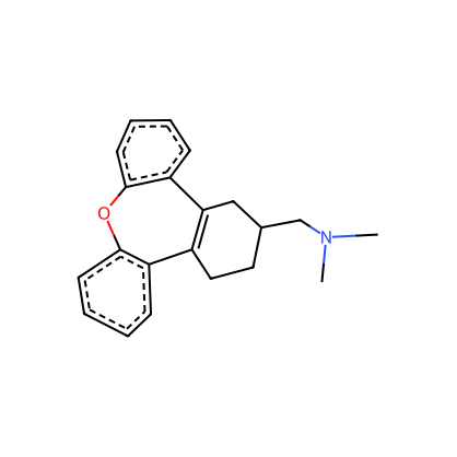 CN(C)CC1CCC2=C(C1)c1ccccc1Oc1ccccc12